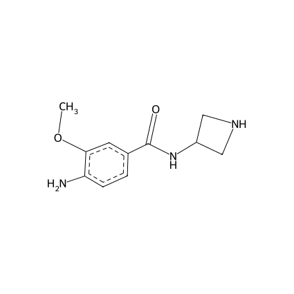 COc1cc(C(=O)NC2CNC2)ccc1N